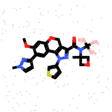 BC(B)(B)N(C(=O)c1nn(-c2ccsc2)c2c1COc1cc(OC)c(-c3ccn(C)n3)cc1-2)C1(C)COC1